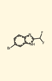 FC(F)c1nc2ccc(Br)cc2[nH]1